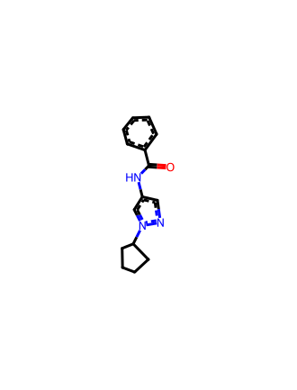 O=C(Nc1cnn(C2CCCC2)c1)c1ccccc1